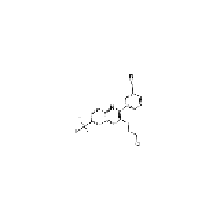 N#Cc1cccc(-c2nc3ccc(C(F)(F)F)cc3cc2CCCO)c1